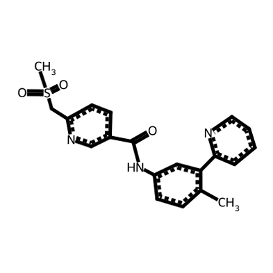 Cc1ccc(NC(=O)c2ccc(CS(C)(=O)=O)nc2)cc1-c1ccccn1